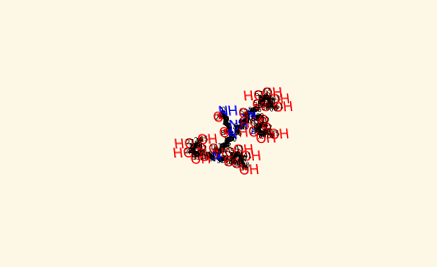 NC(=O)CCC(N)C(=O)N(CCCCCC(=O)N(CCO[C@H]1O[C@H](CO)[C@@H](O)[C@H](O)[C@@H]1O)CCO[C@H]1O[C@H](CO)[C@@H](O)[C@H](O)[C@@H]1O)CCCCCC(=O)N(CCO[C@H]1O[C@H](CO)[C@@H](O)[C@H](O)[C@@H]1O)CCO[C@H]1O[C@H](CO)[C@@H](O)[C@H](O)[C@@H]1O